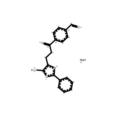 Cc1oc(-c2ccccc2)nc1CCC(=O)c1ccc(C=O)cc1.[NaH]